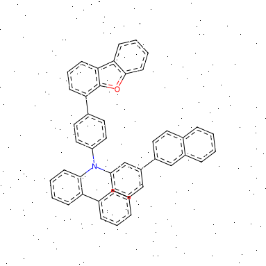 c1ccc(-c2ccccc2N(c2ccc(-c3cccc4c3oc3ccccc34)cc2)c2cccc(-c3ccc4ccccc4c3)c2)cc1